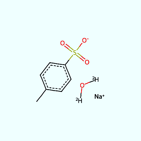 Cc1ccc(S(=O)(=O)[O-])cc1.[2H]O[2H].[Na+]